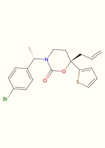 C=CC[C@]1(c2cccs2)CCN([C@@H](C)c2ccc(Br)cc2)C(=O)O1